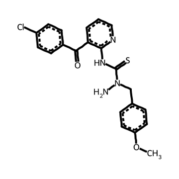 COc1ccc(CN(N)C(=S)Nc2ncccc2C(=O)c2ccc(Cl)cc2)cc1